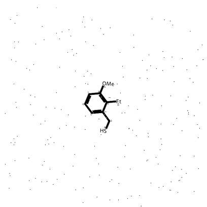 CCc1c(CS)cccc1OC